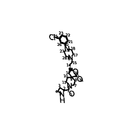 O=C(C1CCN1)N1CCC2(CC1)C[C@H](CCN1CCN(c3cccc(Cl)c3)CC1)OC2=O